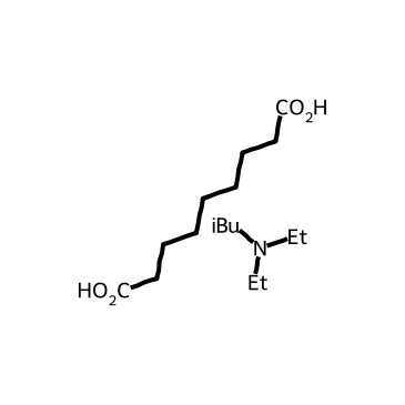 CCC(C)N(CC)CC.O=C(O)CCCCCCCC(=O)O